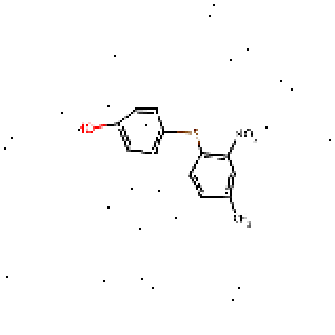 O=[N+]([O-])c1cc(C(F)(F)F)ccc1Sc1ccc(O)cc1